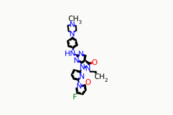 C=CCn1c(=O)c2cnc(Nc3ccc(N4CCN(C)CC4)cc3)nc2n1-c1cccc(-n2cc(F)ccc2=O)n1